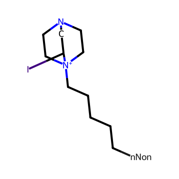 CCCCCCCCCCCCCC[N+]12CCN(CC1)CC2I